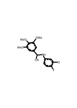 COc1cc(C(C#N)Nc2ccc(F)c(Cl)c2)cc(OC)c1OC